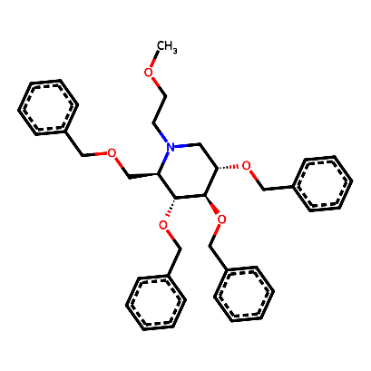 COCCN1C[C@H](OCc2ccccc2)[C@@H](OCc2ccccc2)[C@H](OCc2ccccc2)[C@H]1COCc1ccccc1